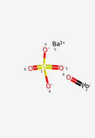 O=S(=O)([O-])[O-].[Ba+2].[O]=[Pb]